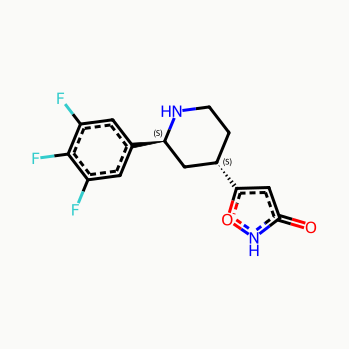 O=c1cc([C@H]2CCN[C@H](c3cc(F)c(F)c(F)c3)C2)o[nH]1